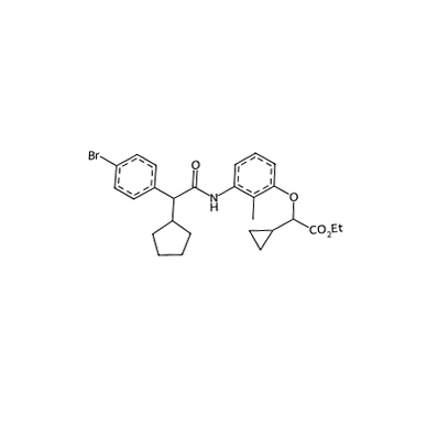 CCOC(=O)C(Oc1cccc(NC(=O)C(c2ccc(Br)cc2)C2CCCC2)c1C)C1CC1